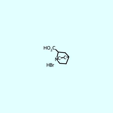 Br.O=C(O)C1CC2CCN1CC2